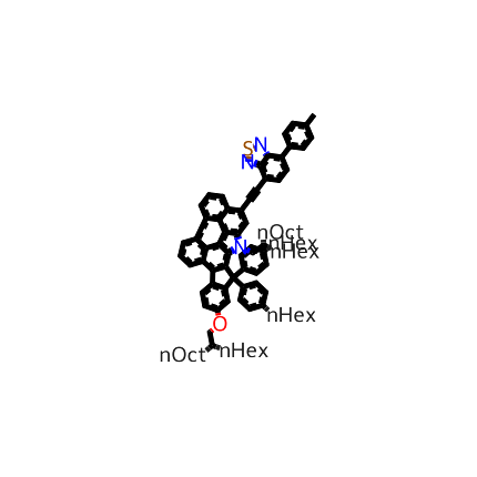 CCCCCCCCC(CCCCCC)COc1ccc2c(c1)C(c1ccc(CCCCCC)cc1)(c1ccc(CCCCCC)cc1)c1c-2c2cccc3c4cccc5c(C#Cc6ccc(-c7ccc(C)cc7)c7nsnc67)cc6c(c54)c(c23)c1n6CC(CCCCCC)CCCCCCCC